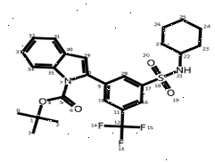 CC(C)(C)OC(=O)n1c(-c2cc(C(F)(F)F)cc(S(=O)(=O)NC3CCCCC3)c2)cc2ccccc21